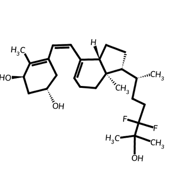 CC1=C(/C=C\C2=CCC[C@]3(C)[C@@H]([C@H](C)CCC(F)(F)C(C)(C)O)CC[C@@H]23)C[C@H](O)C[C@H]1O